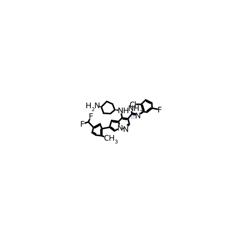 Cc1ccc(C(F)F)cc1-c1cc2c(N[C@H]3CC[C@H](N)CC3)c(/C(N)=N/c3cc(F)ccc3Cl)cnn2c1